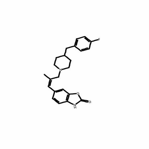 CC(=Cc1ccc2[nH]c(=O)oc2c1)CN1CCC(Cc2ccc(F)cc2)CC1